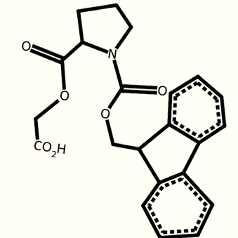 O=C(O)COC(=O)C1CCCN1C(=O)OCC1c2ccccc2-c2ccccc21